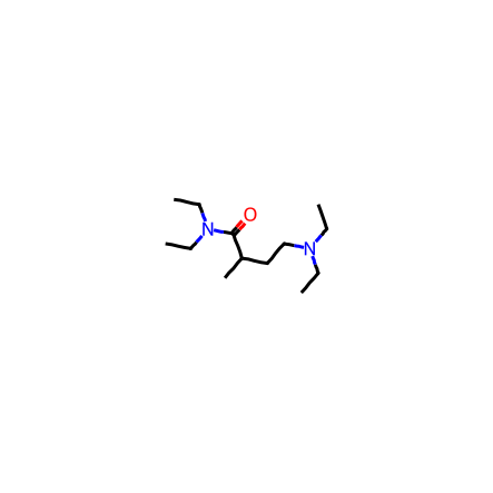 CCN(CC)CCC(C)C(=O)N(CC)CC